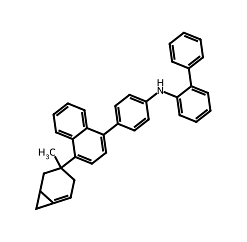 CC1(c2ccc(-c3ccc(Nc4ccccc4-c4ccccc4)cc3)c3ccccc23)CC=C2CC2C1